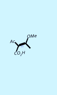 CO/C(C)=C(\C(C)=O)C(=O)O